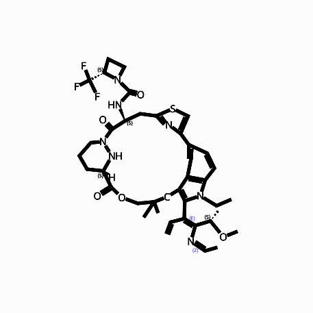 C=C/C(=C(\N=C/C)[C@H](C)OC)c1c2c3cc(ccc3n1CC)-c1csc(n1)C[C@H](NC(=O)N1CC[C@H]1C(F)(F)F)C(=O)N1CCC[C@H](N1)C(=O)OCC(C)(C)C2